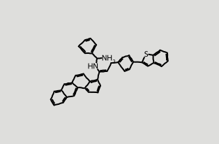 NC(N/C(=C\Cc1ccc(-c2cc3ccccc3s2)cc1)c1cccc2c1ccc1cc3ccccc3cc12)c1ccccc1